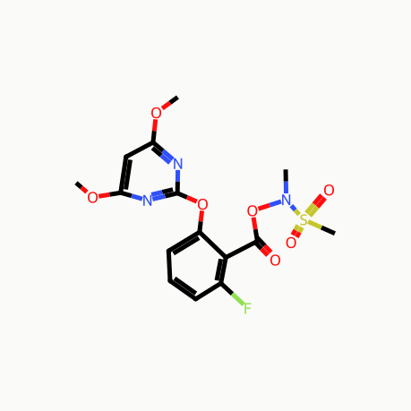 COc1cc(OC)nc(Oc2cccc(F)c2C(=O)ON(C)S(C)(=O)=O)n1